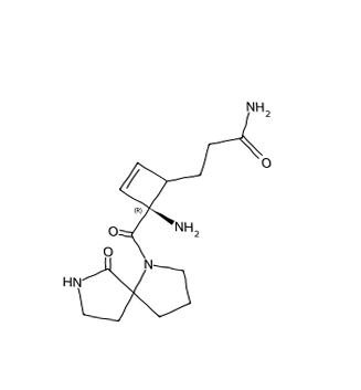 NC(=O)CCC1C=C[C@@]1(N)C(=O)N1CCCC12CCNC2=O